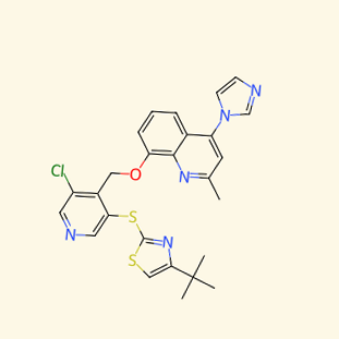 Cc1cc(-n2ccnc2)c2cccc(OCc3c(Cl)cncc3Sc3nc(C(C)(C)C)cs3)c2n1